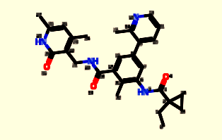 CCC1(C(=O)Nc2cc(-c3cccnc3C)cc(C(=O)NCc3c(C)cc(C)[nH]c3=O)c2C)CC1